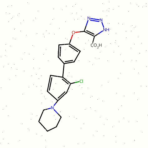 O=C(O)c1[nH]nnc1Oc1ccc(-c2ccc(N3CCCCC3)cc2Cl)cc1